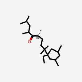 CCC1(C(C)(C)CC[C@@H](C)C(=O)C(C)CC(C)C)CC(C)CC(C)C1